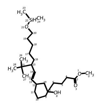 COC(=O)CCCC1(O)CCCC(C=CC(CCCCCO[SiH](C)C)C(C)(C)C)C1